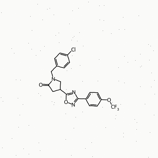 O=C1CC(c2nc(-c3ccc(OC(F)(F)F)cc3)no2)CN1Cc1ccc(Cl)cc1